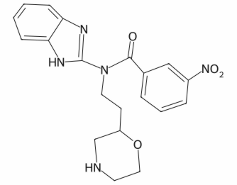 O=C(c1cccc([N+](=O)[O-])c1)N(CCC1CNCCO1)c1nc2ccccc2[nH]1